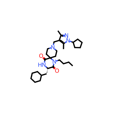 CCCCN1C(=O)[C@H](CC2CCCCC2)NC(=O)C12CCN(Cc1c(C)nn(C3CCCC3)c1C)CC2